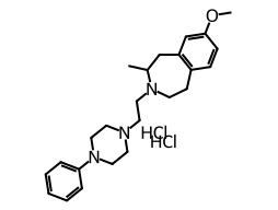 COc1ccc2c(c1)CC(C)N(CCN1CCN(c3ccccc3)CC1)CC2.Cl.Cl